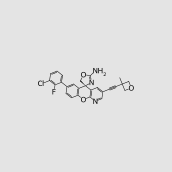 CC1(C#Cc2cnc3c(c2)[C@]2(COC(N)=N2)c2cc(-c4cccc(Cl)c4F)ccc2O3)COC1